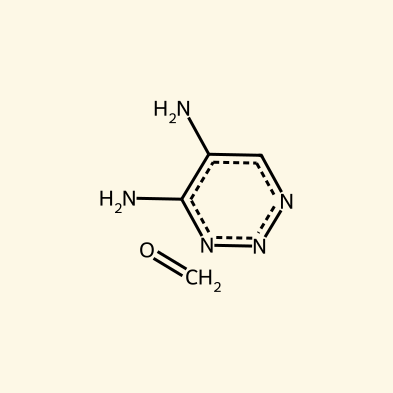 C=O.Nc1cnnnc1N